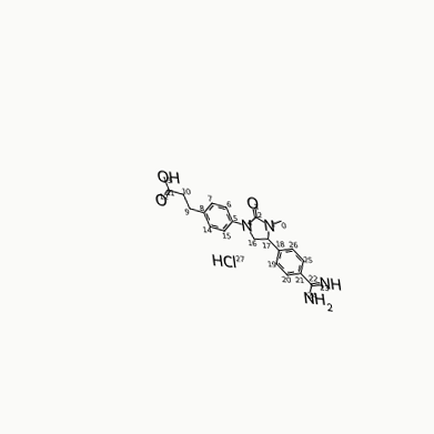 CN1C(=O)N(c2ccc(CCC(=O)O)cc2)CC1c1ccc(C(=N)N)cc1.Cl